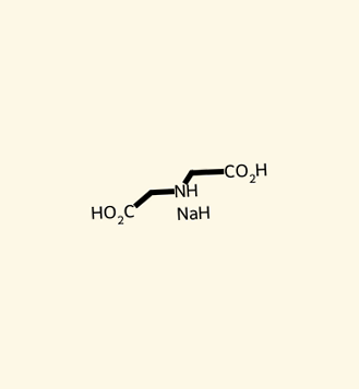 O=C(O)CNCC(=O)O.[NaH]